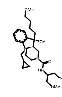 CNCC(CC(C)C)NC(=O)N1CCC[C@@H]([C@@](O)(CCCCOC)c2ccccc2OCC2CC2)C1